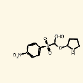 O=CC(OC1CCCN1)S(=O)(=O)c1ccc([N+](=O)[O-])cc1